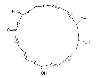 CC1CCC/C=C\C=C\C(O)CC(O)C/C=C\C=C\C(O)C/C=C/C=C\C(=O)O1